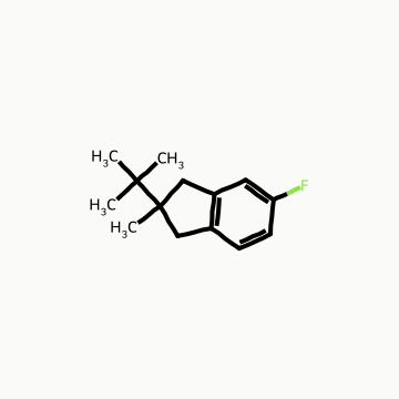 CC(C)(C)C1(C)Cc2ccc(F)cc2C1